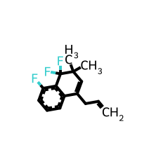 C=CCC1=CC(C)(C)C(F)(F)c2c(F)cccc21